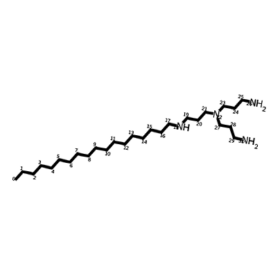 CCCCCCCCCCCCCCCCCCNCCCN(CCCN)CCCN